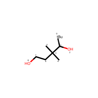 CC(C)(C)C(O)C(C)(C)CCO